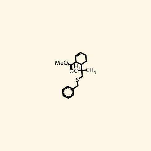 COC(=O)C1C=CCCC1C(C)(C)CSCc1ccccc1